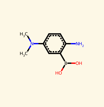 CN(C)c1ccc(N)c(B(O)O)c1